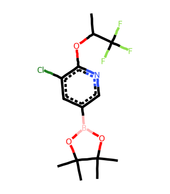 CC(Oc1ncc(B2OC(C)(C)C(C)(C)O2)cc1Cl)C(F)(F)F